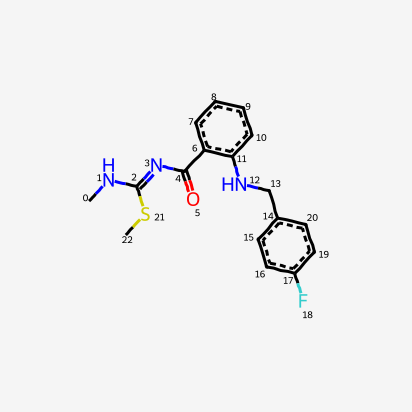 CNC(=NC(=O)c1ccccc1NCc1ccc(F)cc1)SC